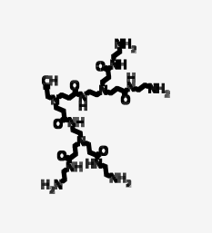 C#CCN(CCC(=O)NCCN(CCC(=O)NCCN)CCC(=O)NCCN)CCC(=O)NCCN(CCC(=O)NCCN)CCC(=O)NCCN